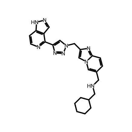 c1cc2[nH]ncc2c(-c2cn(Cc3cn4cc(CNCC5CCCCC5)ccc4n3)nn2)n1